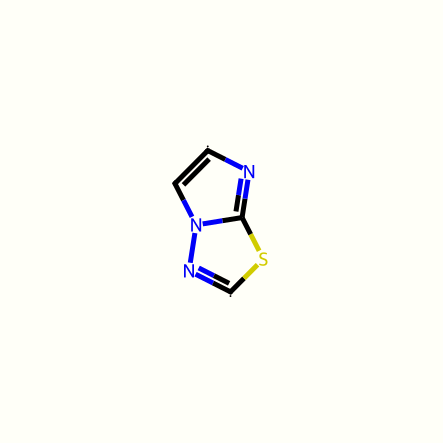 [c]1cn2n[c]sc2n1